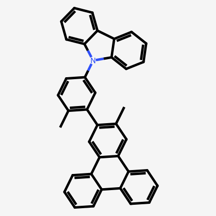 Cc1ccc(-n2c3ccccc3c3ccccc32)cc1-c1cc2c3ccccc3c3ccccc3c2cc1C